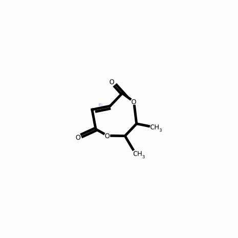 CC1OC(=O)/C=C/C(=O)OC1C